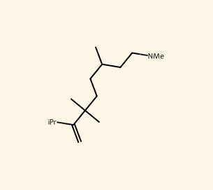 C=C(C(C)C)C(C)(C)CCC(C)CCNC